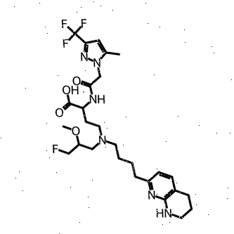 COC(CF)CN(CCCCc1ccc2c(n1)NCCC2)CCC(NC(=O)Cn1nc(C(F)(F)F)cc1C)C(=O)O